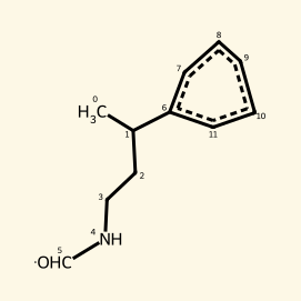 CC(CCN[C]=O)c1ccccc1